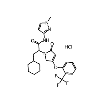 Cl.Cn1ccc(NC(=O)C(CC2CCCCC2)N2CC(Oc3ccccc3C(F)(F)F)=CC2=O)n1